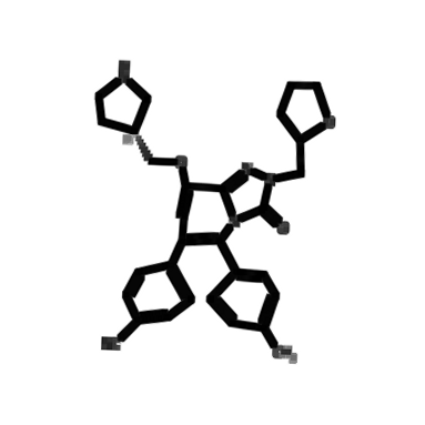 Cc1ccc(-c2c(-c3ccc(C#N)cc3)cc(OC[C@@H]3CCNC3)c3nn(CC4CCCO4)c(=O)n23)cc1